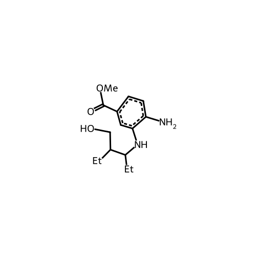 CCC(CO)C(CC)Nc1cc(C(=O)OC)ccc1N